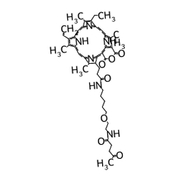 C=Cc1c(C)c2cc3nc(c4c5[nH]c(cc6nc(cc1[nH]2)C(C)=C6CC)c(C)c5C(=O)OC4=O)C(CCC(=O)NCCCCCOCCNC(=O)CCC(C)=O)C3C